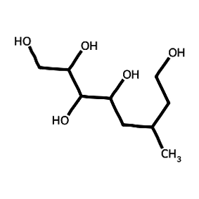 CC(CCO)CC(O)C(O)C(O)CO